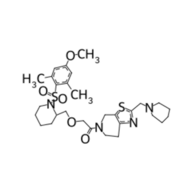 COc1cc(C)c(S(=O)(=O)N2CCCCC2COCC(=O)N2CCc3nc(CN4CCCCC4)sc3C2)c(C)c1